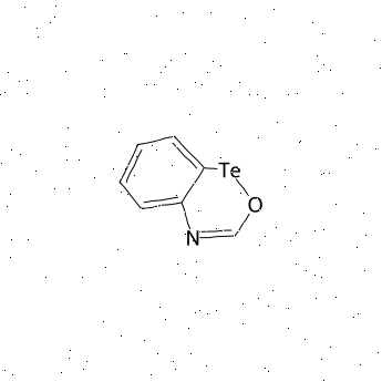 C1=Nc2ccccc2[Te]O1